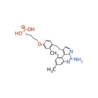 Cc1ccc2c(c1)nc(N)c1nccc(CCc3ccc(OCCCCP(=O)(O)O)cc3C)c12